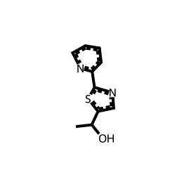 CC(O)c1cnc(-c2ccccn2)s1